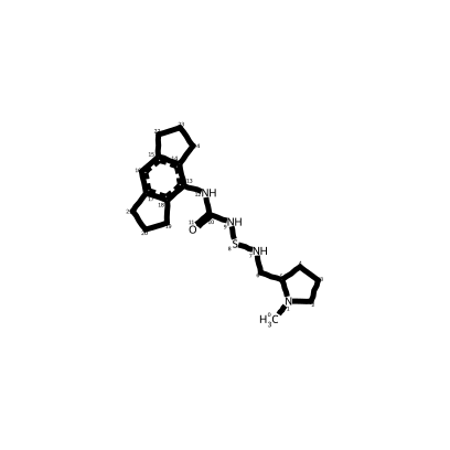 CN1CCCC1CNSNC(=O)Nc1c2c(cc3c1CCC3)CCC2